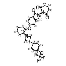 O=C1c2ccc(O[C@@H]3CCCC[C@H]3N3CC(c4ccc(OC(F)(F)F)cc4)C3)cc2CN1N1C(=O)CCCC1=O